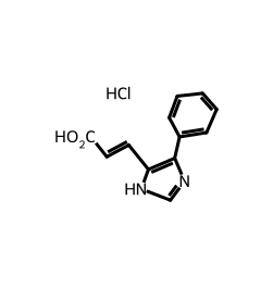 Cl.O=C(O)C=Cc1[nH]cnc1-c1ccccc1